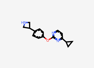 c1cc(C2CC2)nc(Oc2ccc(C3CNC3)cc2)n1